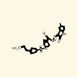 O=C(O)CCc1ccc(S(=O)(=O)Nc2ccc(C(=O)N/N=C3\C(=O)Nc4ccc(I)cc43)cc2)cc1